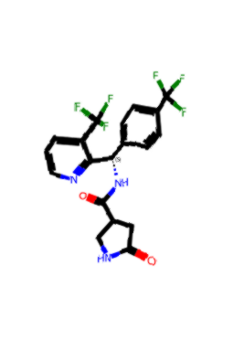 O=C1CC(C(=O)N[C@@H](c2ccc(C(F)(F)F)cc2)c2ncccc2C(F)(F)F)CN1